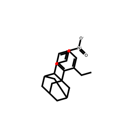 CCc1ccccc1C12CC3CC(CC(C3)C1CC=C[N+](=O)[O-])C2